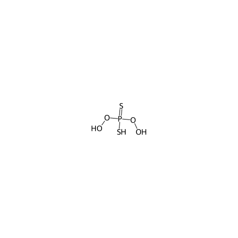 OOP(=S)(S)OO